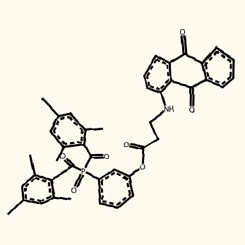 Cc1cc(C)c(C(=O)P(=O)(C(=O)c2c(C)cc(C)cc2C)c2cccc(OC(=O)CCNc3cccc4c3C(=O)c3ccccc3C4=O)c2)c(C)c1